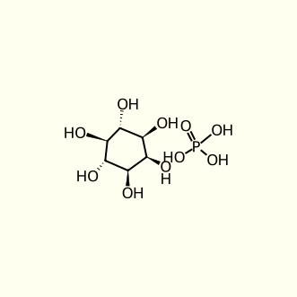 O=P(O)(O)O.O[C@H]1[C@H](O)[C@@H](O)[C@H](O)[C@@H](O)[C@H]1O